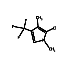 Cc1c(C(F)(F)F)cn(C)c1Cl